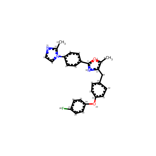 Cc1oc(-c2ccc(-n3ccnc3C)cc2)nc1Cc1ccc(Oc2ccc(F)cc2)cc1